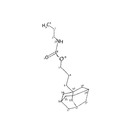 CCCNC(=O)OCCCC12CC3CC(CC(C3)C1)C2